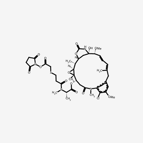 COc1cc2cc(c1Cl)N(C)C(=O)C[C@H](OC(=O)[C@H](C)N(C)C(=O)CCSCC(=O)ON1C(=O)CCC1=O)[C@]1(C)O[C@H]1[C@H](C)[C@@H]1C[C@@](O)(NC(=O)O1)[C@H](OC)/C=C/C=C(\C)C2